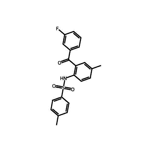 Cc1ccc(S(=O)(=O)Nc2ccc(C)cc2C(=O)c2cccc(F)c2)cc1